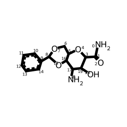 NC(=O)C1OC2COC(c3ccccc3)OC2C(N)C1O